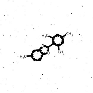 Cc1cc(C)c(-c2nc3cc(C)ccc3o2)c(C)c1